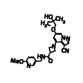 COc1ccc(CNC(=O)C2CN(c3cc(OCC(C)(C)O)cn4ncc(C#N)c34)C2)cn1